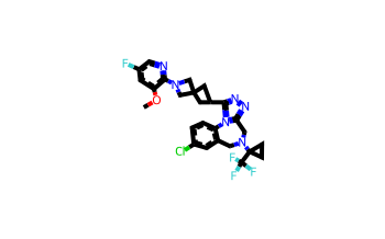 COc1cc(F)cnc1N1CC2(CC(c3nnc4n3-c3ccc(Cl)cc3CN(C3(C(F)(F)F)CC3)C4)C2)C1